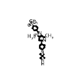 Cc1nc(-c2ccc(N3CC4(CNC4)C3)cc2)cc2c1nc(-c1ccc(S(C)(=O)=O)cc1)n2C